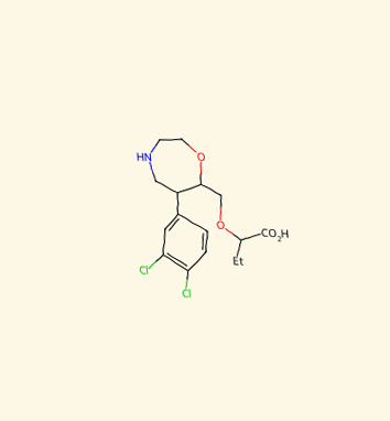 CCC(OCC1OCCNCC1c1ccc(Cl)c(Cl)c1)C(=O)O